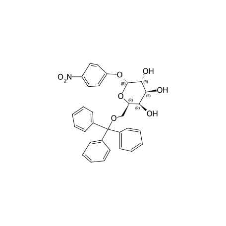 O=[N+]([O-])c1ccc(O[C@H]2O[C@H](COC(c3ccccc3)(c3ccccc3)c3ccccc3)[C@H](O)[C@H](O)[C@H]2O)cc1